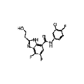 O=C(Nc1ccc(F)c(Cl)c1)c1cc(F)c(F)c2nc(CCO)[nH]c12